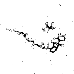 O=C(O)C(F)(F)F.O=C(O)CCOCCOCCOCCn1cc(CNc2cccc3c2C(=O)N(C2CCC(=O)NC2=O)C3=O)nn1